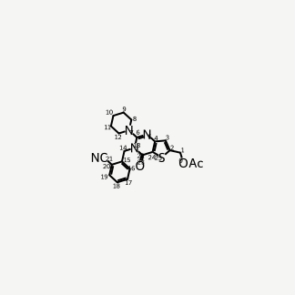 CC(=O)OCc1cc2nc(N3CCCCC3)n(Cc3ccccc3C#N)c(=O)c2s1